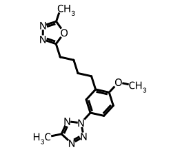 COc1ccc(-n2nnc(C)n2)cc1CCCCc1nnc(C)o1